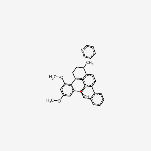 COc1cc(OC)c(C2=c3c(ccc4c3=CCc3ccccc3-4)C(C)CC2)c(OC)c1.c1ccncc1